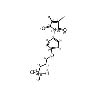 CC1=C(C)C(=O)N(c2ccc(OCCC[Si](C)(Cl)Cl)cc2)C1=O